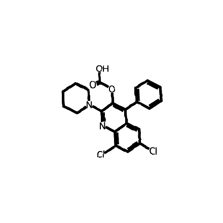 O=C(O)Oc1c(N2CCCCC2)nc2c(Cl)cc(Cl)cc2c1-c1ccccc1